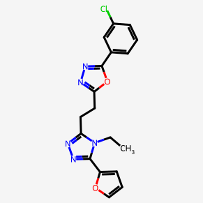 CCn1c(CCc2nnc(-c3cccc(Cl)c3)o2)nnc1-c1ccco1